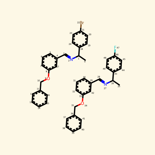 CC(N=Cc1cccc(OCc2ccccc2)c1)c1ccc(Br)cc1.CC(N=Cc1cccc(OCc2ccccc2)c1)c1ccc(F)cc1